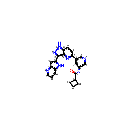 O=C(Nc1cncc(-c2ccc3[nH]nc(-c4cc5ncccc5[nH]4)c3n2)c1)C1CCC1